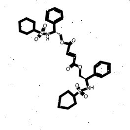 O=C(/C=C/C(=O)OC[C@H](NS(=O)(=O)C1CCCCC1)c1ccccc1)OC[C@H](NS(=O)(=O)C1CCCCC1)c1ccccc1